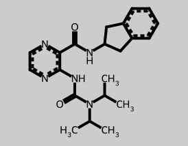 CC(C)N(C(=O)Nc1nccnc1C(=O)NC1Cc2ccccc2C1)C(C)C